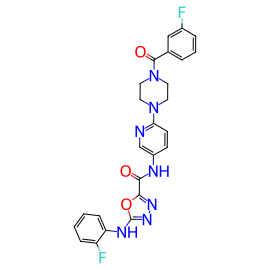 O=C(Nc1ccc(N2CCN(C(=O)c3cccc(F)c3)CC2)nc1)c1nnc(Nc2ccccc2F)o1